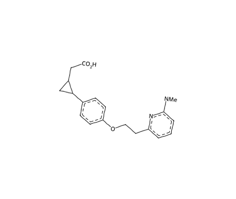 CNc1cccc(CCOc2ccc(C3CC3CC(=O)O)cc2)n1